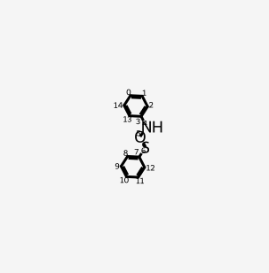 c1ccc(NOSc2ccccc2)cc1